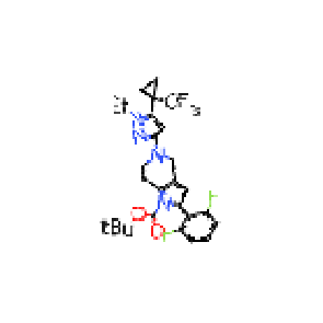 CCn1nc(N2CCc3c(cc(-c4c(F)cccc4F)n3C(=O)OC(C)(C)C)C2)cc1C1(C(F)(F)F)CC1